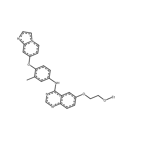 CCOCCOc1ccc2ncnc(Nc3ccc(Oc4ccn5ccnc5c4)c(C)c3)c2c1